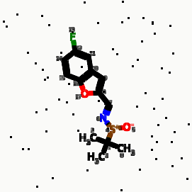 CC(C)(C)[S+]([O-])/N=C/c1cc2cc(F)ccc2o1